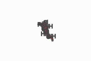 C#CCCCCNC(=O)CCSNCC(C)OC(=O)N1CCC2(CC1)C(=O)N(Cc1nc3cc(Cl)ccc3n1CCCCF)C1=C2C=CNC1